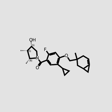 C[C@@H]1[C@H](O)CN(C(=O)c2cc(C3CC3)c(OCC3(C)CC=C4CC4C3)cc2F)[C@@H]1C